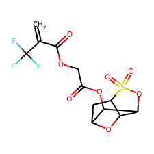 C=C(C(=O)OCC(=O)OC1C2CC3C(O2)C1OS3(=O)=O)C(F)(F)F